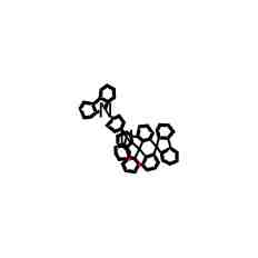 c1ccc(N(c2ccc(-n3c4ccccc4c4ccccc43)cc2)c2cccc3c2C2(c4ccccc4-c4ccccc42)c2ccccc2C32c3ccccc3-c3ccccc32)cc1